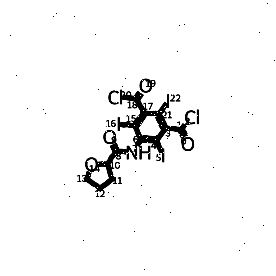 O=C(Cl)c1c(I)c(NC(=O)C2CCCO2)c(I)c(C(=O)Cl)c1I